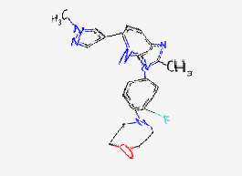 Cc1nc2ccc(-c3cnn(C)c3)nc2n1-c1ccc(N2CCOCC2)c(F)c1